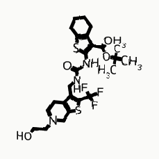 CC(C)(C)OC(=O)c1c(NC(=O)NCc2c(C(F)(F)F)sc3c2CCN(CCO)C3)sc2c1CCCC2